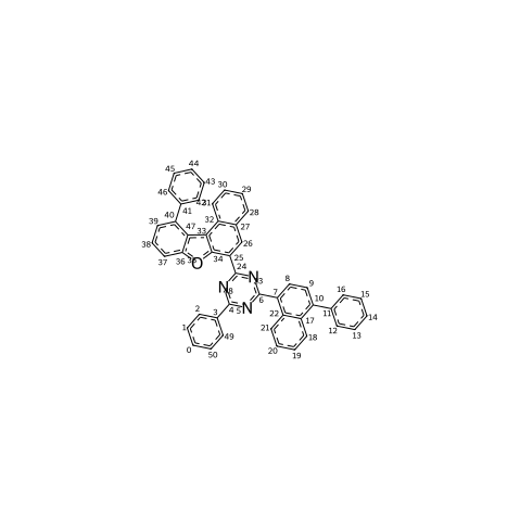 c1ccc(-c2nc(-c3ccc(-c4ccccc4)c4ccccc34)nc(-c3cc4ccccc4c4c3oc3cccc(-c5ccccc5)c34)n2)cc1